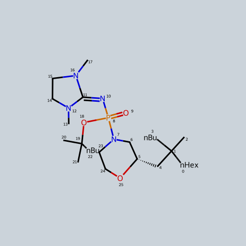 CCCCCCC(C)(CCCC)C[C@H]1CN(P(=O)(N=C2N(C)CCN2C)OC(C)(C)CCCC)CCO1